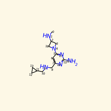 CNC1CN(c2cc(CNCC3CC3)nc(N)n2)C1